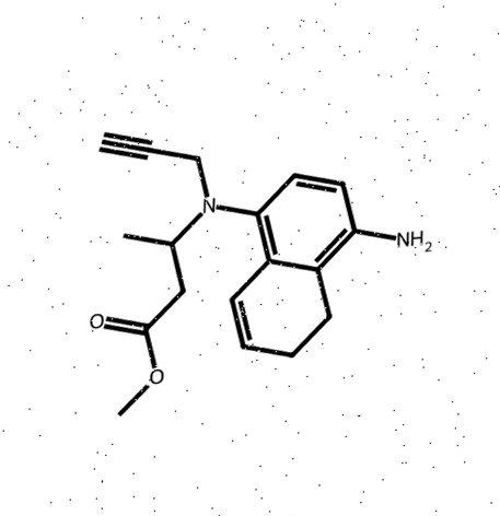 C#CCN(c1ccc(N)c2c1C=CCC2)C(C)CC(=O)OC